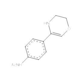 CC(=O)Nc1ccc(C2=COCCN2)cc1